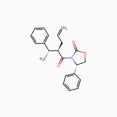 C=CC[C@@H](C(=O)N1C(=O)OC[C@@H]1c1ccccc1)[C@H](C)c1ccccc1